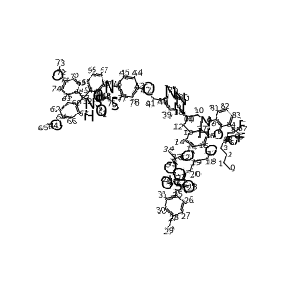 CCCCC(=O)Oc1c(NC[C@@H](Cc2ccc(OCC(COS(=O)(=O)c3ccc(C)cc3)OC(C)=O)cc2)n2cc(COc3ccc4nc(S(=O)(=O)NC(c5ccccc5)(c5ccc(OC)cc5)c5ccc(OC)cc5)sc4c3)nn2)cccc1C(F)(F)F